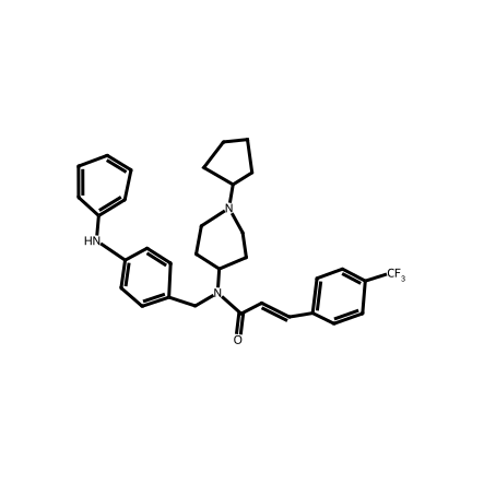 O=C(/C=C/c1ccc(C(F)(F)F)cc1)N(Cc1ccc(Nc2ccccc2)cc1)C1CCN(C2CCCC2)CC1